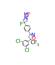 [O-][NH+]1CC(F)(c2ccc(C3=NOC(c4cc(Cl)cc(Cl)c4)(C(F)(F)F)C3)cc2)C1